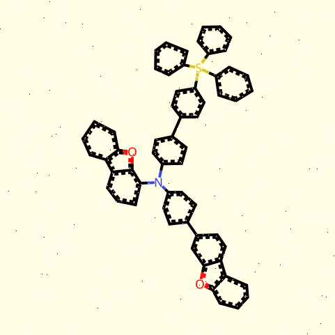 c1ccc(S(c2ccccc2)(c2ccccc2)c2ccc(-c3ccc(N(c4ccc(-c5ccc6c(c5)oc5ccccc56)cc4)c4cccc5c4oc4ccccc45)cc3)cc2)cc1